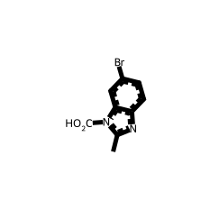 Cc1nc2ccc(Br)cc2n1C(=O)O